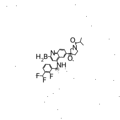 Bc1cc(N[C@H](C)c2cccc(C(F)F)c2F)c2cc([C@]3(OC)CCN(C(=O)C(C)C)C3)ccc2n1